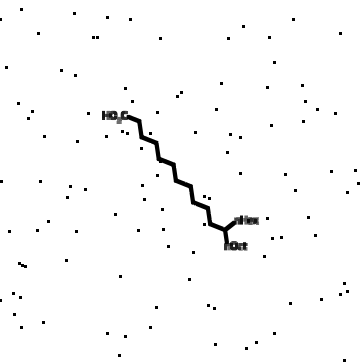 CCCCCCCCC(CCCCCC)CCCCCCCCCCC(=O)O